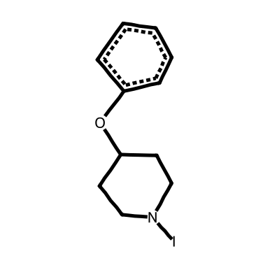 IN1CCC(Oc2ccccc2)CC1